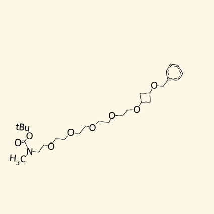 CN(CCOCCOCCOCCOCCOC1CC(OCc2ccccc2)C1)C(=O)OC(C)(C)C